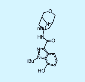 CCCCN1C2COCC1CC(NC(=O)c1nn(C(C)CC)c3c(O)cccc13)C2